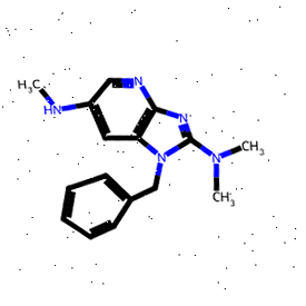 CNc1cnc2nc(N(C)C)n(Cc3ccccc3)c2c1